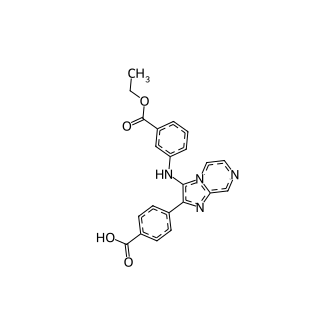 CCOC(=O)c1cccc(Nc2c(-c3ccc(C(=O)O)cc3)nc3cnccn23)c1